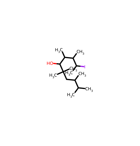 CC(C)C(C)CC(C)(C)C(O)C(C)C(C)C(C)I